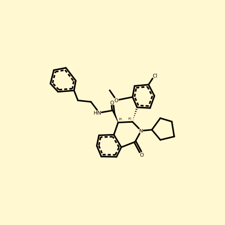 COc1cc(Cl)ccc1[C@H]1[C@H](C(=O)NCCc2ccccc2)c2ccccc2C(=O)N1C1CCCC1